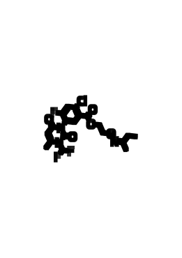 CCC(C)=NOCCOC(=O)c1cc(-n2c(=O)cc(C)n(C(F)F)c2=O)c(F)cc1Cl